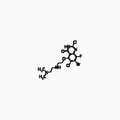 CN(C)CCNCCOc1c(Cl)c(Br)c(F)c2nc(Cl)[nH]c(=O)c12